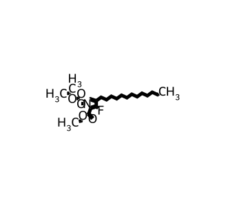 CCCCCCCCCCCCCc1cn(OC(=O)OC(C)C)c(C(=O)OCC)c1F